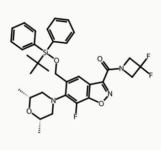 C[C@@H]1CN(c2c(CO[Si](c3ccccc3)(c3ccccc3)C(C)(C)C)cc3c(C(=O)N4CC(F)(F)C4)noc3c2F)C[C@H](C)O1